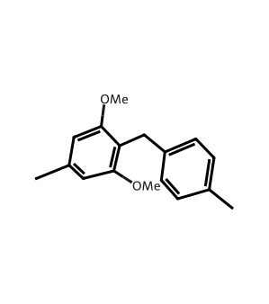 COc1cc(C)cc(OC)c1Cc1ccc(C)cc1